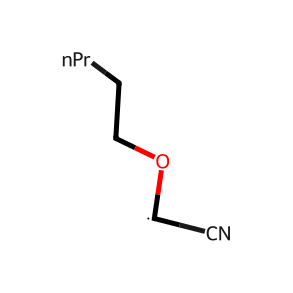 CCCCCO[CH]C#N